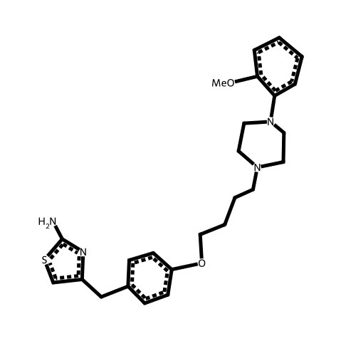 COc1ccccc1N1CCN(CCCCOc2ccc(Cc3csc(N)n3)cc2)CC1